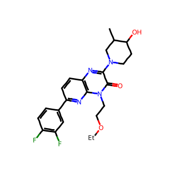 CCOCCn1c(=O)c(N2CCC(O)C(C)C2)nc2ccc(-c3ccc(F)c(F)c3)nc21